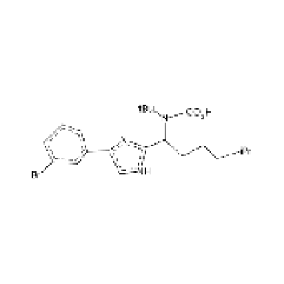 CC(C)CCCC(c1nc(-c2cccc(Br)c2)c[nH]1)N(C(=O)O)C(C)(C)C